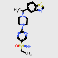 CC[S@@](=N)(=O)c1cnc(N2CCN([C@H](C)c3ccc4scnc4c3)CC2)nc1